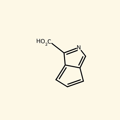 O=C(O)C1=NC=C2C=CC=C21